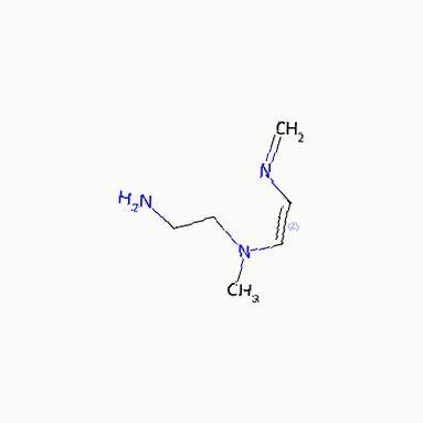 C=N/C=C\N(C)CCN